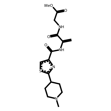 C=C(NC(=O)c1csc(C2CCN(C)CC2)n1)C(=O)NCC(=O)OC